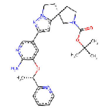 C[C@H](Oc1cc(-c2cc3n(n2)CC[C@@]32CCN(C(=O)OC(C)(C)C)C2)cnc1N)c1ccccn1